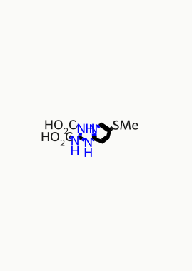 CSc1ccc(NC(NC(=O)O)NC(=O)O)nc1